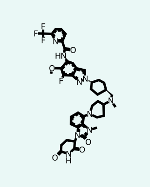 COc1c(NC(=O)c2cccc(C(F)(F)F)n2)cc2cn([C@H]3CC[C@H](CN(C)C4CCN(c5cccc6c5n(C)c(=O)n6C5CCC(=O)NC5=O)CC4)CC3)nc2c1F